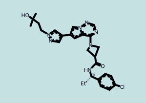 CC[C@H](NC(=O)C1CN(c2ncnn3cc(-c4cnn(CCC(C)(C)O)c4)cc23)C1)c1ccc(Cl)cc1